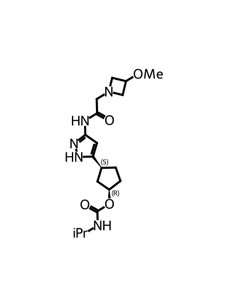 COC1CN(CC(=O)Nc2cc([C@H]3CC[C@@H](OC(=O)NC(C)C)C3)[nH]n2)C1